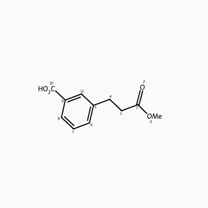 COC(=O)CCc1cccc(C(=O)O)c1